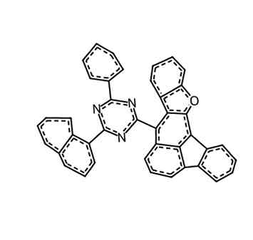 c1ccc(-c2nc(-c3cccc4ccccc34)nc(-c3c4cccc5c4c(c4oc6ccccc6c34)-c3ccccc3-5)n2)cc1